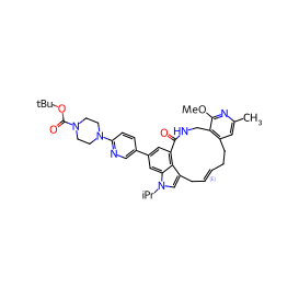 COc1nc(C)cc2c1CNC(=O)c1cc(-c3ccc(N4CCN(C(=O)OC(C)(C)C)CC4)nc3)cc3c1c(cn3C(C)C)C/C=C/CC2